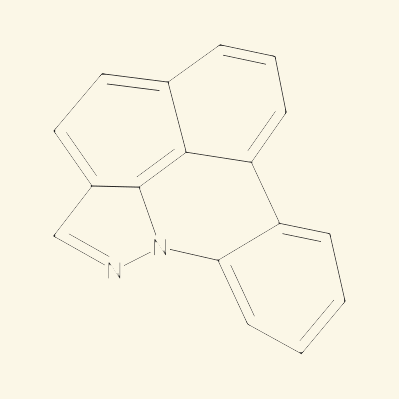 c1cc2ccc3cnn4c5ccccc5c(c1)c2c34